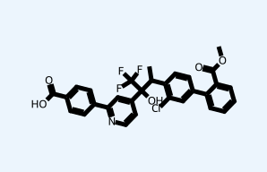 COC(=O)c1ccccc1-c1ccc(C(C)C(O)(c2ccnc(-c3ccc(C(=O)O)cc3)c2)C(F)(F)F)c(Cl)c1